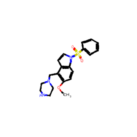 COc1ccc2c(ccn2S(=O)(=O)c2ccccc2)c1CN1CCNCC1